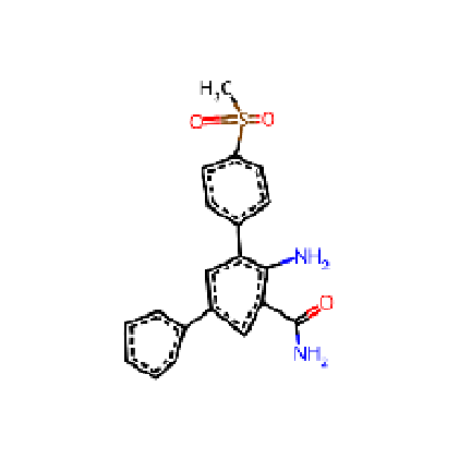 CS(=O)(=O)c1ccc(-c2cc(-c3ccccc3)cc(C(N)=O)c2N)cc1